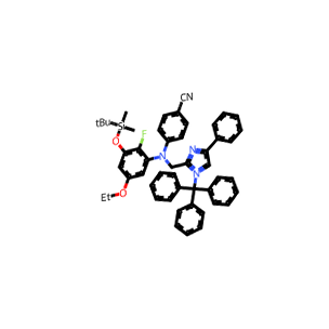 CCOc1cc(O[Si](C)(C)C(C)(C)C)c(F)c(N(Cc2nc(-c3ccccc3)cn2C(c2ccccc2)(c2ccccc2)c2ccccc2)c2ccc(C#N)cc2)c1